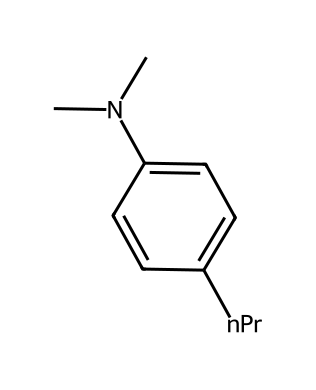 [CH2]CCc1ccc(N(C)C)cc1